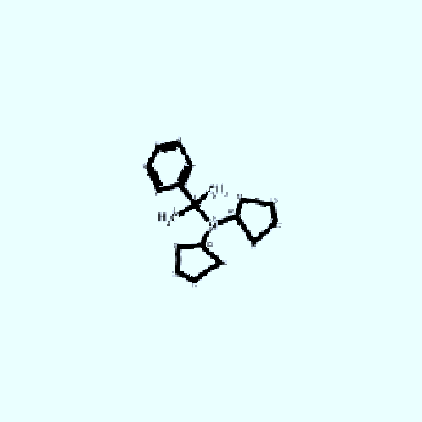 CC(C)(c1ccccc1)[Si](C1CCCC1)C1CCCC1